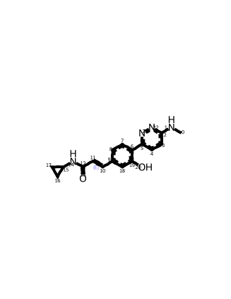 CNc1ccc(-c2ccc(/C=C/C(=O)NC3CC3)cc2O)nn1